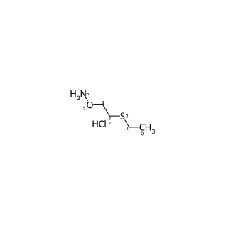 CCSCCON.Cl